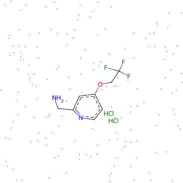 Cl.Cl.NCc1cc(OCC(F)(F)F)ccn1